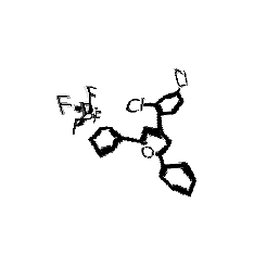 Clc1ccc(-c2cc(-c3ccccc3)[o+]c(-c3ccccc3)c2)c(Cl)c1.F[B-](F)(F)F